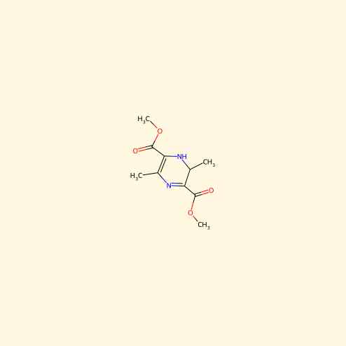 COC(=O)C1=NC(C)=C(C(=O)OC)NC1C